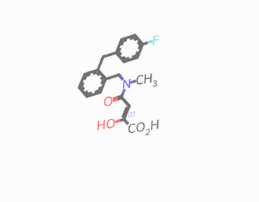 CN(Cc1ccccc1Cc1ccc(F)cc1)C(=O)/C=C(\O)C(=O)O